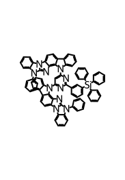 c1ccc(-n2c3ccccc3n3c4ccc5c6ccccc6n(-c6cc(-n7c8ccccc8c8ccc9c(nc%10n(-c%11ccccc%11)c%11ccccc%11n9%10)c87)nc(-c7cccc([Si](c8ccccc8)(c8ccccc8)c8ccccc8)c7)n6)c5c4nc23)cc1